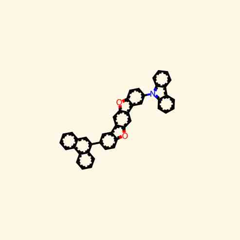 c1ccc2c(c1)cc(-c1ccc3oc4cc5c(cc4c3c1)oc1ccc(-n3c4ccccc4c4ccccc43)cc15)c1ccccc12